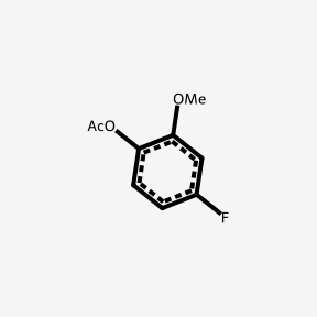 COc1cc(F)ccc1OC(C)=O